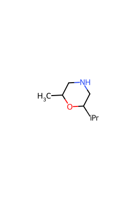 CC1CNCC(C(C)C)O1